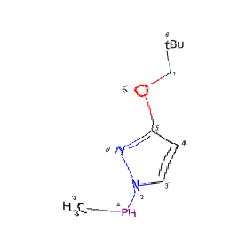 CPn1ccc(OCC(C)(C)C)n1